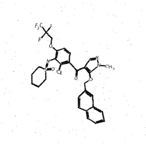 Cn1ncc(C(=O)c2ccc(OCC(F)(F)C(F)(F)F)c(N=S3(=O)CCCCC3)c2Cl)c1OCc1ccc2ccccc2c1